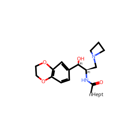 CCCCCCCC(=O)N[C@H](CN1CCC1)[C@H](O)c1ccc2c(c1)OCCO2